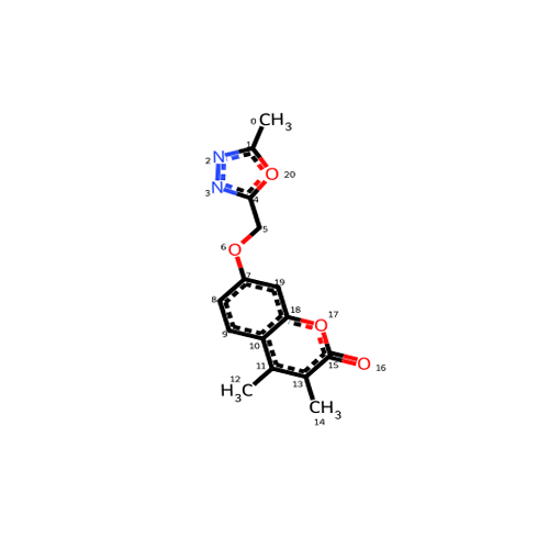 Cc1nnc(COc2ccc3c(C)c(C)c(=O)oc3c2)o1